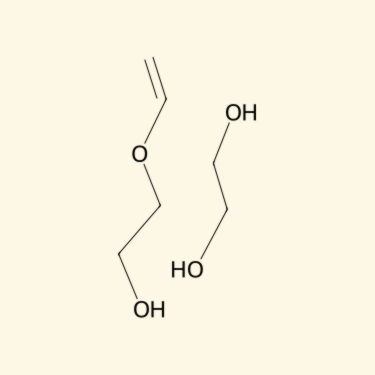 C=COCCO.OCCO